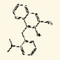 CN(C)c1ccccc1Cc1c(O)c(N)cc2ccccc12